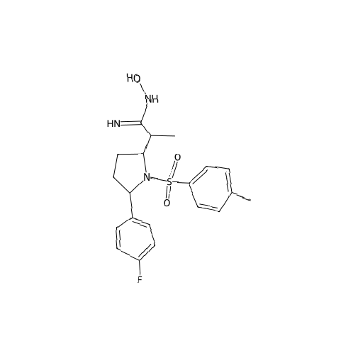 Cc1ccc(S(=O)(=O)N2C(c3ccc(F)cc3)CCC2C(C)C(=N)NO)cc1